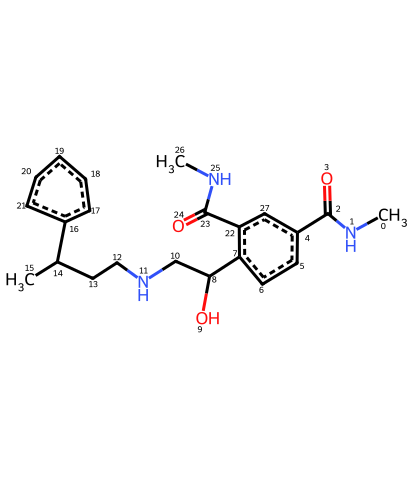 CNC(=O)c1ccc(C(O)CNCCC(C)c2ccccc2)c(C(=O)NC)c1